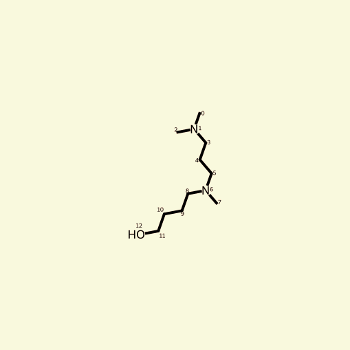 CN(C)CCCN(C)CCCCO